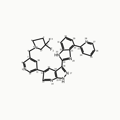 FC1(F)CCN(Cc2cncc(-c3cnc4[nH]nc(-c5nc6c(-c7ccccn7)cccc6[nH]5)c4c3)c2)C1